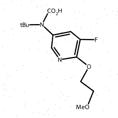 COCCOc1ncc(N(C(=O)O)C(C)(C)C)cc1F